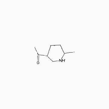 CC(=O)C1CCC(C)NC1